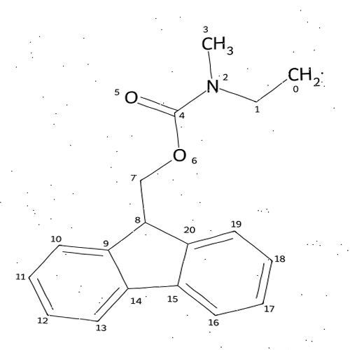 [CH2]CN(C)C(=O)OCC1c2ccccc2-c2ccccc21